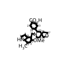 COc1cc(C)c2[nH]ccc2c1CN1CCC2(CCOC2)CC1c1ccc(C(=O)O)cc1